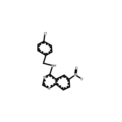 O=[N+]([O-])c1ccc2ncnc(NCc3ccc(Cl)cc3)c2c1